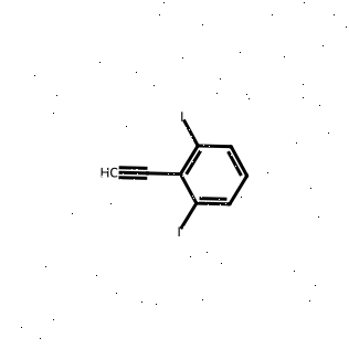 C#Cc1c(I)cccc1I